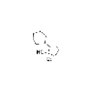 CCC1(O)CCCC1C1CCCCC1